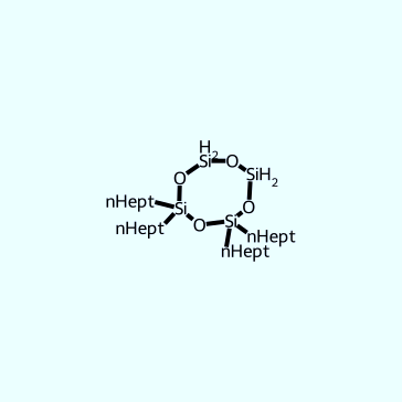 CCCCCCC[Si]1(CCCCCCC)O[SiH2]O[SiH2]O[Si](CCCCCCC)(CCCCCCC)O1